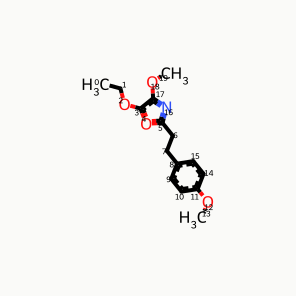 CCOc1oc(CCc2ccc(OC)cc2)nc1OC